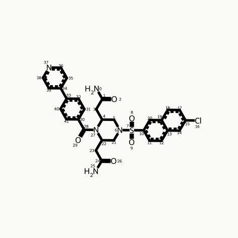 NC(=O)CC1CN(S(=O)(=O)c2ccc3cc(Cl)ccc3c2)CC(CC(N)=O)N1C(=O)c1ccc(-c2ccncc2)cc1